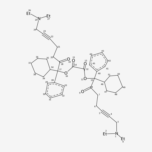 CCN(CC)CC#CCCC(=O)C(OC(=O)C(=O)OC(C(=O)CCC#CCN(CC)CC)(c1ccccc1)C1CCCCC1)(c1ccccc1)C1CCCCC1